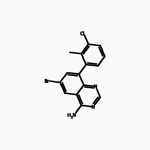 Cc1c(Cl)cccc1-c1cc(Br)cc2c(N)ncnc12